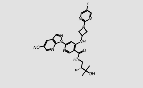 CC(C)(O)[C@H](F)CNC(=O)c1cnc(-n2ncc3cc(C#N)cnc32)cc1NC1CN(c2ncc(F)cn2)C1